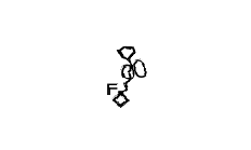 O=C(OCCCC1(F)CCC1)c1ccccc1